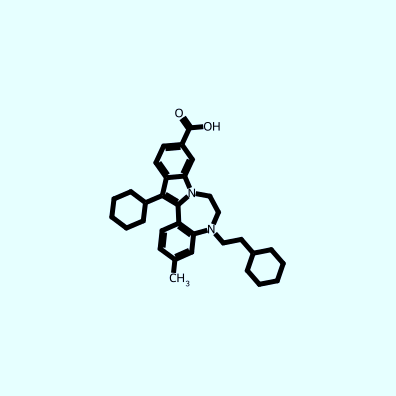 Cc1ccc2c(c1)N(CCC1CCCCC1)CCn1c-2c(C2CCCCC2)c2ccc(C(=O)O)cc21